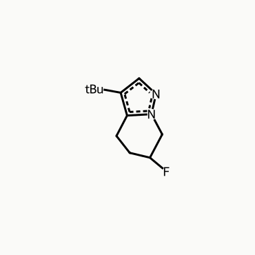 CC(C)(C)c1cnn2c1CCC(F)C2